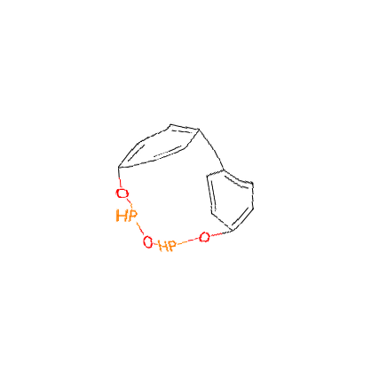 c1cc2ccc1o[pH]o[pH]oc1ccc2cc1